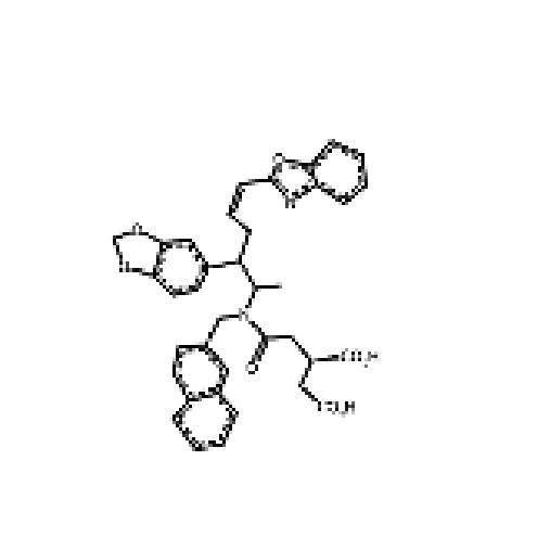 CC(C(C/C=C\c1nc2ccccc2o1)c1ccc2c(c1)OCO2)N(Cc1ccc2ccccc2c1)C(=O)C[C@H](CC(=O)O)C(=O)O